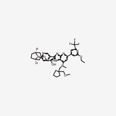 CCOc1cc(-c2cc(N(C)CC3(COC)CCCC3)c3[nH]c(-c4cnc(N5[C@@H]6CC[C@H]5CC(OCC(=O)O)C6)cn4)nc3n2)cc(C(F)(F)F)n1